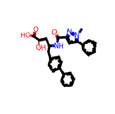 Cn1nc(C(=O)NC(Cc2ccc(-c3ccccc3)cc2)C[C@@H](O)C(=O)O)cc1-c1ccccc1